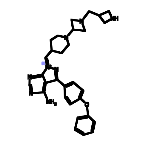 Nc1ncnc2c1C(c1ccc(Oc3ccccc3)cc1)=N/[N+]2=C\C1CCN(C2CN(CC3CNC3)C2)CC1